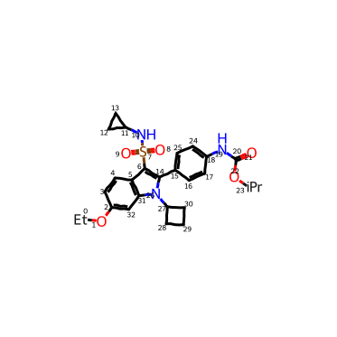 CCOc1ccc2c(S(=O)(=O)NC3CC3)c(-c3ccc(NC(=O)OC(C)C)cc3)n(C3CCC3)c2c1